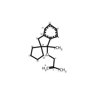 C=C(C)COC1(C)c2ccccc2CC12CCCC2